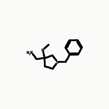 COC1(CN)CCN(Cc2ccccc2)C1